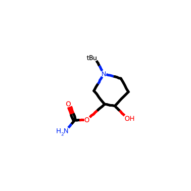 CC(C)(C)N1CCC(O)C(OC(N)=O)C1